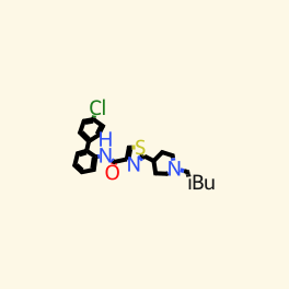 CCC(C)CN1CCC(c2nc(C(=O)Nc3ccccc3-c3ccc(Cl)cc3)cs2)CC1